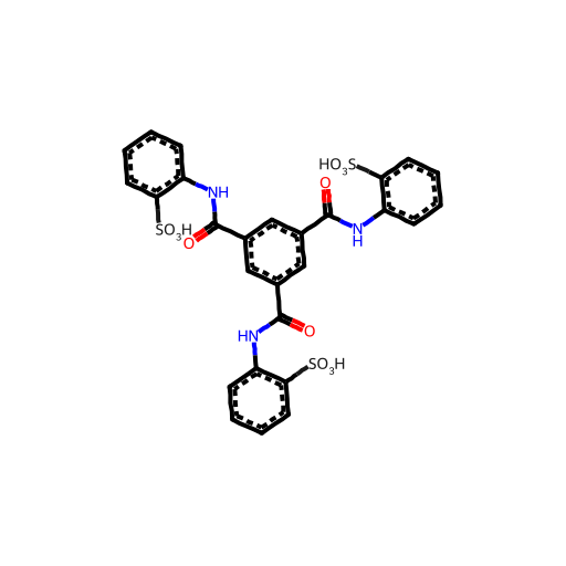 O=C(Nc1ccccc1S(=O)(=O)O)c1cc(C(=O)Nc2ccccc2S(=O)(=O)O)cc(C(=O)Nc2ccccc2S(=O)(=O)O)c1